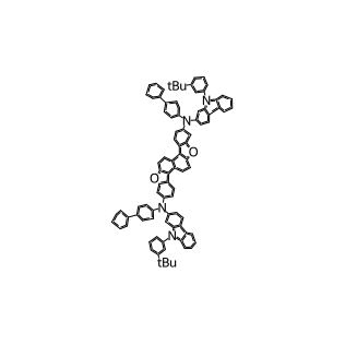 CC(C)(C)c1cccc(-n2c3ccccc3c3ccc(N(c4ccc(-c5ccccc5)cc4)c4ccc5c(c4)oc4ccc6c(ccc7oc8cc(N(c9ccc(-c%10ccccc%10)cc9)c9ccc%10c%11ccccc%11n(-c%11cccc(C(C)(C)C)c%11)c%10c9)ccc8c76)c45)cc32)c1